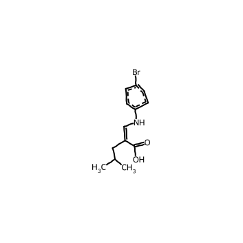 CC(C)CC(=CNc1ccc(Br)cc1)C(=O)O